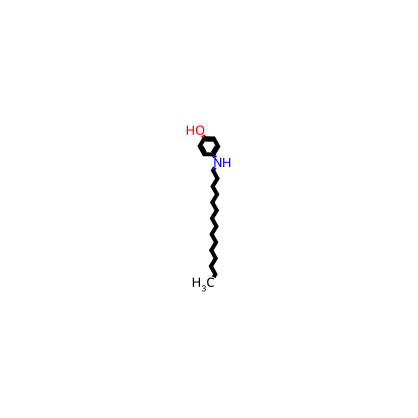 CCCCCCCCCCCCCCCNc1ccc(O)cc1